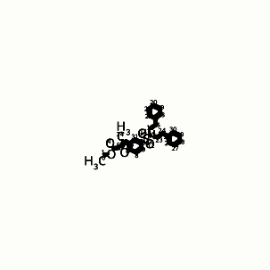 CCOC(=O)c1oc2ccc(S(=O)(=O)N(CCc3ccccc3)CCc3ccccc3)cc2c1C